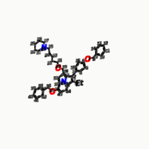 CCc1c(-c2ccc(OCc3ccccc3)cc2)c2c(COCCCCCN3CCCCC3)cc3c(OCc4ccccc4)ccc1n32